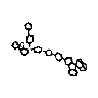 c1ccc(-c2ccc(N(c3ccc(-c4ccc(-c5ccc(-c6ccc7c(c6)-c6ccccc6C76C7CC8CC(C7)CC6C8)cc5)cc4)cc3)c3cccc4c3oc3ccccc34)cc2)cc1